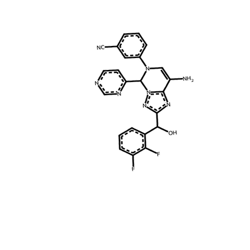 N#Cc1cccc(N2C=C(N)c3nc(C(O)c4cccc(F)c4F)nn3C2c2ccncn2)c1